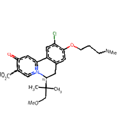 CNCCCOc1cc2c(cc1Cl)-c1cc(=O)c(C(=O)O)cn1[C@H](C(C)(C)COC)C2